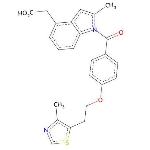 Cc1ncsc1CCOc1ccc(C(=O)n2c(C)cc3c(CC(=O)O)cccc32)cc1